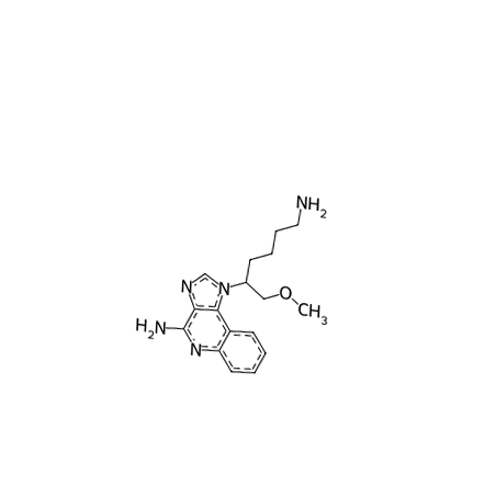 COCC(CCCCN)n1cnc2c(N)nc3ccccc3c21